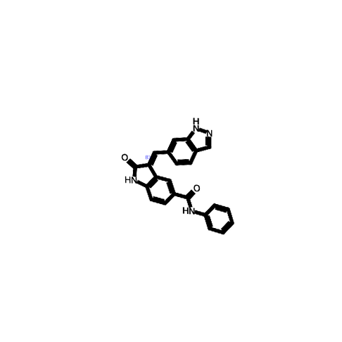 O=C1Nc2ccc(C(=O)Nc3ccccc3)cc2/C1=C\c1ccc2cn[nH]c2c1